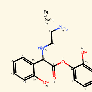 NCCNC(C(=O)Oc1ccccc1O)c1ccccc1O.[Fe].[NaH]